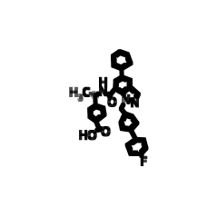 C[C@H](NC(=O)c1cc(-c2ccccc2)cc2cnn(Cc3ccc(-c4ccc(F)cc4)cc3)c12)c1ccc(C(=O)O)cc1